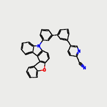 N#Cc1ccc(-c2cccc(-c3cccc(-n4c5ccccc5c5c6c(ccc54)oc4ccccc46)c3)c2)cn1